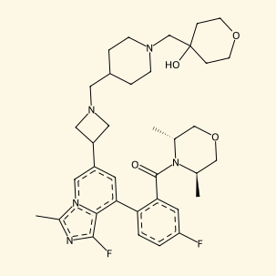 Cc1nc(F)c2c(-c3ccc(F)cc3C(=O)N3[C@H](C)COC[C@H]3C)cc(C3CN(CC4CCN(CC5(O)CCOCC5)CC4)C3)cn12